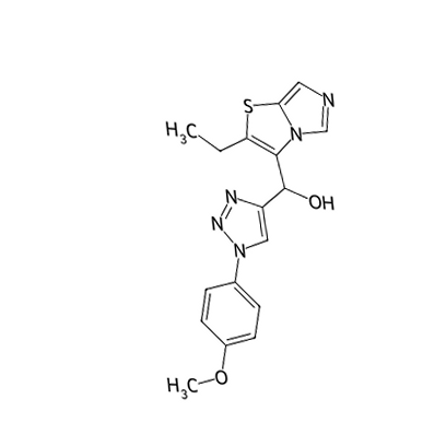 CCc1sc2cncn2c1C(O)c1cn(-c2ccc(OC)cc2)nn1